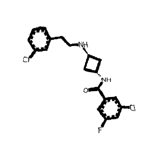 O=C(N[C@H]1C[C@H](NCCc2cccc(Cl)c2)C1)c1cc(F)cc(Cl)c1